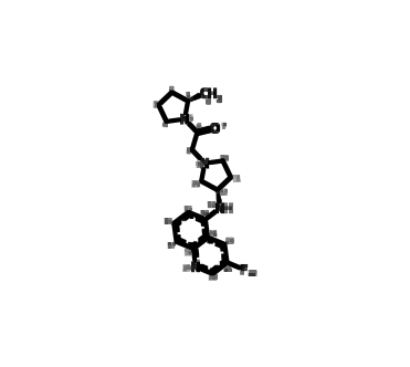 C[C@@H]1CCCN1C(=O)CN1CC[C@@H](Nc2cccc3ncc(F)cc23)C1